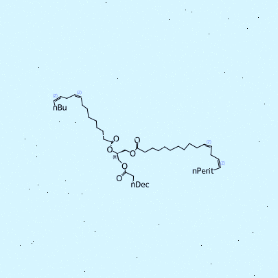 CCCC/C=C\C/C=C\CCCCCCCC(=O)O[C@@H](COC(=O)CCCCCCCCC/C=C\C/C=C\CCCCC)COC(=O)CCCCCCCCCCC